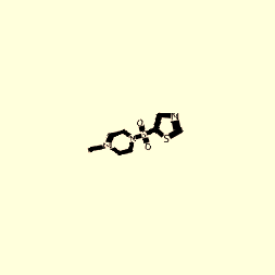 CN1CCN(S(=O)(=O)c2cn[c]s2)CC1